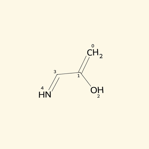 C=C(O)C=N